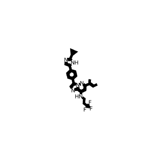 C/C=C(\C)c1cc(NCCC(F)(F)F)c2ncc(-c3ccc(-c4cnc(C5CC5)[nH]4)cc3)n2n1